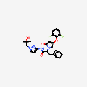 CC(C)(O)Cn1ccc(NC(=O)C(CC2CC3CCC2C3)N2CC(Oc3c(F)cccc3F)=CC2=O)n1